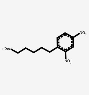 CCCCCCCCCCCCCCCc1ccc([N+](=O)[O-])cc1[N+](=O)[O-]